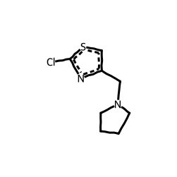 Clc1nc(CN2CCCC2)cs1